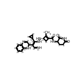 CC1=C(C(=O)NC2CCC(=O)NC2=O)C[C@@H]1NN/C(=C(\C=N)C1C=Nc2ccccc2N1)C1CC1